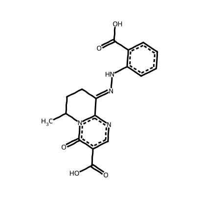 CC1CC/C(=N\Nc2ccccc2C(=O)O)c2ncc(C(=O)O)c(=O)n21